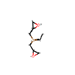 CC=S(CC1CO1)CC1CO1